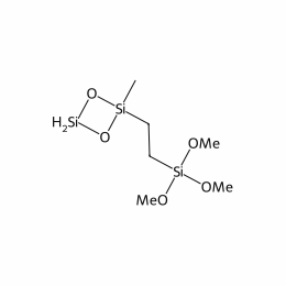 CO[Si](CC[Si]1(C)O[SiH2]O1)(OC)OC